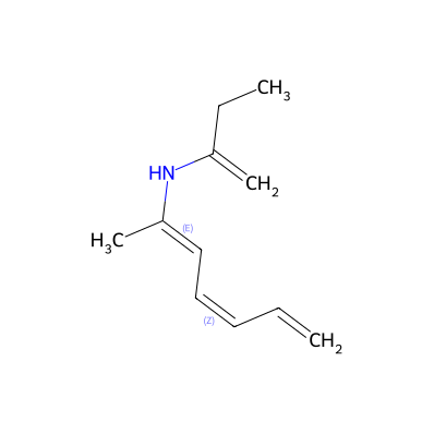 C=C/C=C\C=C(/C)NC(=C)CC